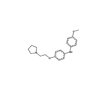 COc1ccc(Nc2ccc(OCCN3CCCC3)cc2)cc1